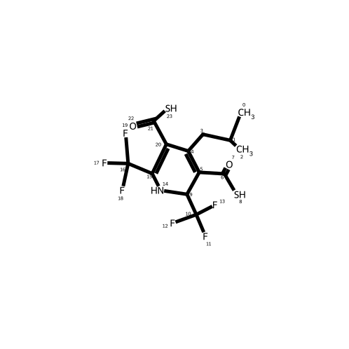 CC(C)CC1=C(C(=O)S)C(C(F)(F)F)NC(C(F)(F)F)=C1C(=O)S